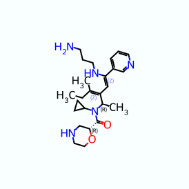 CC/C(C)=C(/C=C(\NCCCN)c1cccnc1)[C@@H](C)N(C(=O)[C@H]1CNCCO1)C1CC1